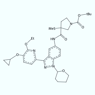 CCOc1nc(-c2nn(C3CCCCO3)c3ccc(NC(=O)C4(SC)CCN(C(=O)OC(C)(C)C)C4)cc23)ccc1OC1CC1